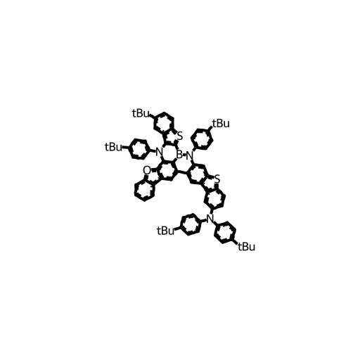 CC(C)(C)c1ccc(N2B3c4sc5ccc(C(C)(C)C)cc5c4N(c4ccc(C(C)(C)C)cc4)c4c3c(cc3c4oc4ccccc43)-c3cc4c(cc32)sc2ccc(N(c3ccc(C(C)(C)C)cc3)c3ccc(C(C)(C)C)cc3)cc24)cc1